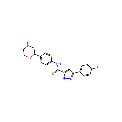 O=C(Nc1ccc(C2CNCCO2)cc1)c1cc(-c2ccc(F)cc2)n[nH]1